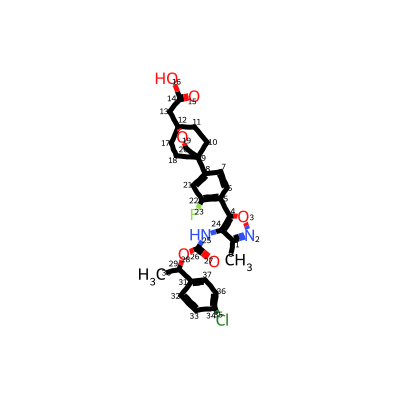 Cc1noc(-c2ccc(C34CCC(CC(=O)O)(CC3)OC4)cc2F)c1NC(=O)OC(C)c1ccc(Cl)cc1